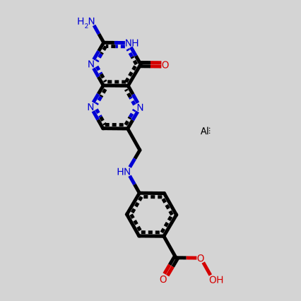 Nc1nc2ncc(CNc3ccc(C(=O)OO)cc3)nc2c(=O)[nH]1.[Al]